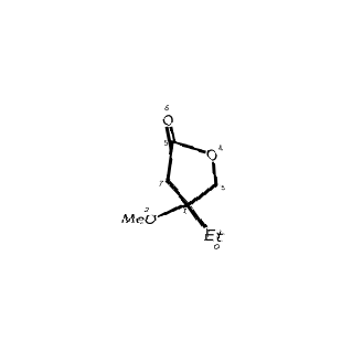 CCC1(OC)COC(=O)C1